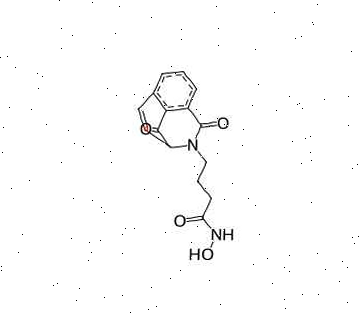 O=C(CCCN1C(=O)c2cccc3c2C(=O)C1C=C3)NO